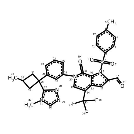 Cc1ccc(S(=O)(=O)n2c(C=O)cc3c(C(F)(F)F)cn(-c4cccc(C5(c6nncn6C)CC(C)C5)c4)c(=O)c32)cc1